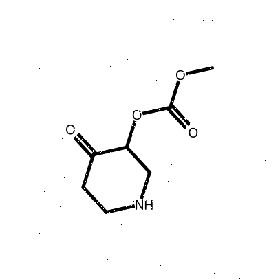 COC(=O)OC1CNCCC1=O